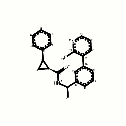 CC(NC(=O)[C@H]1CC1c1ccccc1)c1cccc(-c2cccnc2F)c1